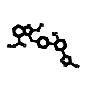 CCOc1nc2cccc(C(=O)OC)c2n1Cc1ccc(-c2cc(-n3cc(C(C)C)nn3)ccc2C#N)cc1